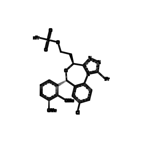 CCCS(=O)(=O)OCC[C@@H]1O[C@@H](c2cccc(OC)c2OC)c2cc(Cl)ccc2-n2c(C(C)C)nnc21